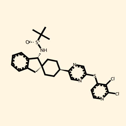 CC(C)(C)[S@@+]([O-])N[C@H]1c2ccccc2C[C@]12CC[C@H](c1cnc(Sc3ccnc(Cl)c3Cl)cn1)CC2